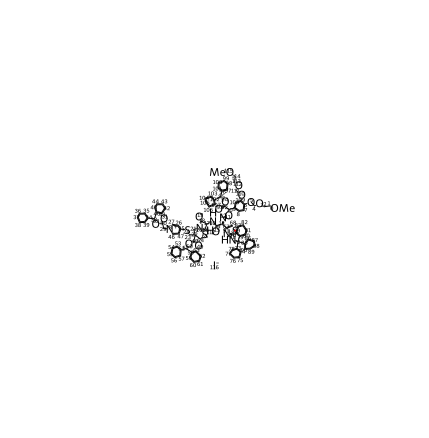 COCCOCOc1ccc(C(ON=C(C(=O)NC2C(=O)N3CC(CSc4cc[n+](CC(=O)OC(c5ccccc5)c5ccccc5)cc4)(C(=O)OC(c4ccccc4)c4ccccc4)CS[C@H]23)c2csc(NC(c3ccccc3)(c3ccccc3)c3ccccc3)n2)C(=O)OC(c2ccccc2)c2ccccc2)cc1OCOCCOC.[I-]